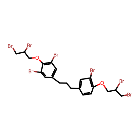 BrCC(Br)COc1ccc(CCCc2cc(Br)c(OCC(Br)CBr)c(Br)c2)cc1Br